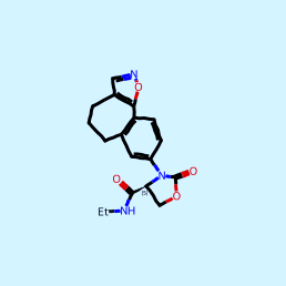 CCNC(=O)[C@@H]1COC(=O)N1c1ccc2c(c1)CCCc1cnoc1-2